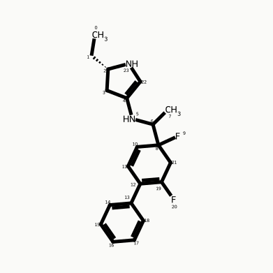 CC[C@H]1CC(NC(C)C2(F)C=CC(c3ccccc3)=C(F)C2)=CN1